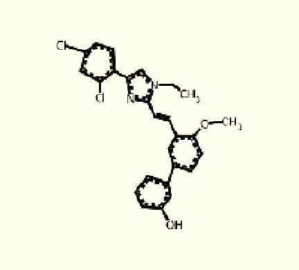 CCn1cc(-c2ccc(Cl)cc2Cl)nc1/C=C/c1cc(-c2cccc(O)c2)ccc1OC